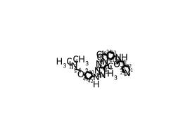 CCN(CC)CCOc1ccc(Nc2ncc3c(C)n(-c4cc(NC(=O)Cc5ccncc5)ccc4Cl)c(=O)nc3n2)cc1